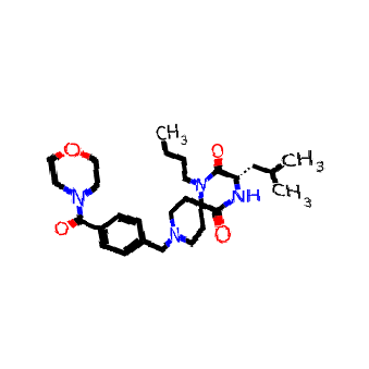 CCCCN1C(=O)[C@H](CC(C)C)NC(=O)C12CCN(Cc1ccc(C(=O)N3CCOCC3)cc1)CC2